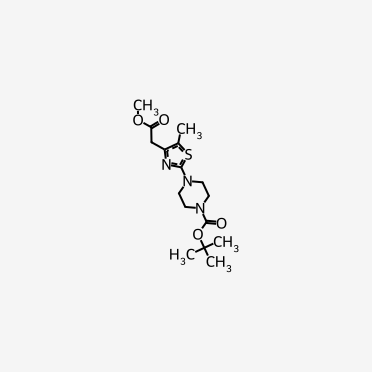 COC(=O)Cc1nc(N2CCN(C(=O)OC(C)(C)C)CC2)sc1C